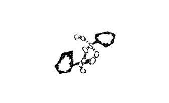 O=S(=O)(OS(=O)(=O)c1ccccc1)c1ccccc1.[Ca]